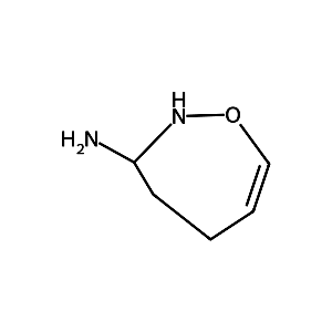 NC1CCC=CON1